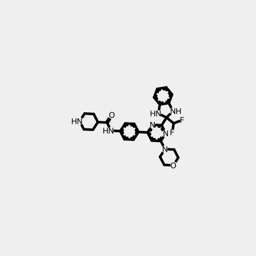 O=C(Nc1ccc(-c2cc(N3CCOCC3)nc(C3(C(F)F)Nc4ccccc4N3)n2)cc1)C1CCNCC1